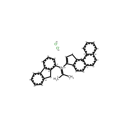 C[C](C)=[Zr+2]([C]1=CCc2c1ccc1ccc3ccccc3c21)[c]1cccc2c1Cc1ccccc1-2.[Cl-].[Cl-]